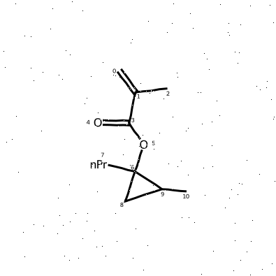 C=C(C)C(=O)OC1(CCC)CC1C